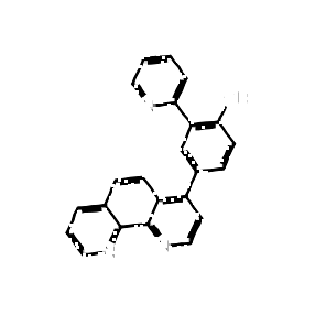 Oc1ccc(-c2ccnc3c2ccc2cccnc23)cc1-c1ccccn1